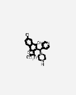 CCOC(=O)c1coc2c1c(C(c1ccncc1)N1CCNCC1)c(O)c1cc(Cl)ccc12